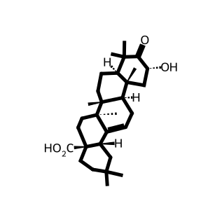 CC1(C)CC[C@]2(C(=O)O)CC[C@]3(C)C(=CC[C@@H]4[C@@]5(C)C[C@@H](O)C(=O)C(C)(C)[C@@H]5CC[C@]43C)[C@@H]2C1